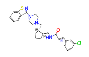 O=C(/C=C/c1cccc(Cl)c1)NC[C@H]1CCC[C@@H]1CN1CCN(c2nsc3ccccc23)CC1